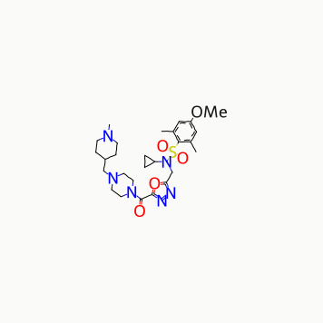 COc1cc(C)c(S(=O)(=O)N(Cc2nnc(C(=O)N3CCN(CC4CCN(C)CC4)CC3)o2)C2CC2)c(C)c1